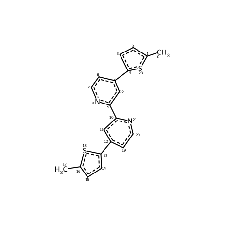 Cc1ccc(-c2ccnc(-c3cc(-c4ccc(C)s4)ccn3)c2)s1